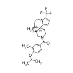 Cc1cc(C(=O)N2CC[C@@]3(c4ccc(C(F)(F)F)n4CCN3C)[C@H](F)C2)ccc1OC(C)C